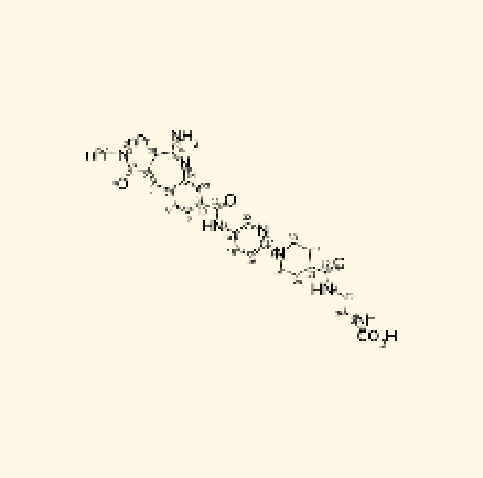 CCCN(CCC)C(=O)C1=Cc2ccc(C(=O)Nc3ccc(N4CCC(C(=O)NCCNC(=O)O)CC4)nc3)cc2N=C(N)C1